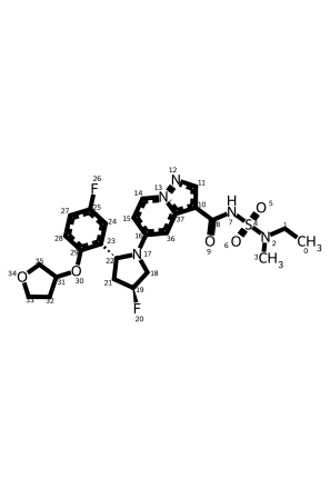 CCN(C)S(=O)(=O)NC(=O)c1cnn2ccc(N3C[C@@H](F)C[C@@H]3c3cc(F)ccc3OC3CCOC3)cc12